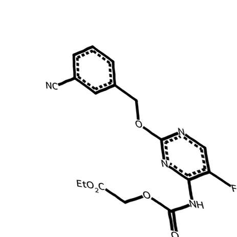 CCOC(=O)COC(=O)Nc1nc(OCc2cccc(C#N)c2)ncc1F